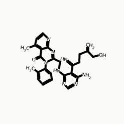 C=C(CO)CCC(=N)c1c(N)ncnc1NCc1nc2nccc(C)c2c(=O)n1-c1ccccc1C